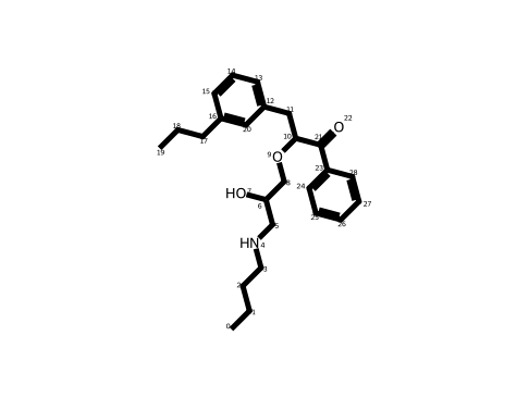 CCCCNCC(O)COC(Cc1cccc(CCC)c1)C(=O)c1ccccc1